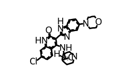 O=c1[nH]c2cc(Cl)ccc2c(N[C@@H]2CN3CCC2CC3)c1-c1nc2cc(N3CCOCC3)ccc2[nH]1